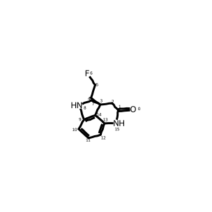 O=C1CC2(CCF)CNc3cccc(c32)N1